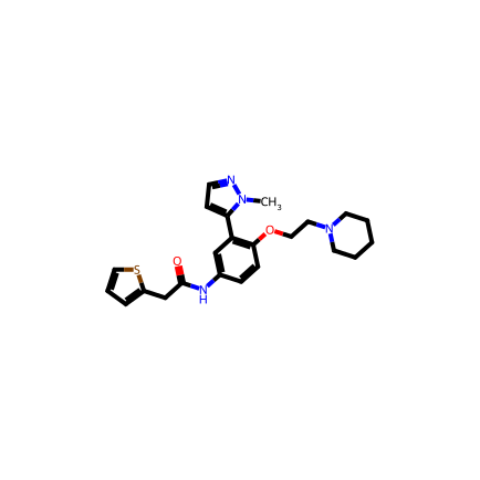 Cn1nccc1-c1cc(NC(=O)Cc2cccs2)ccc1OCCN1CCCCC1